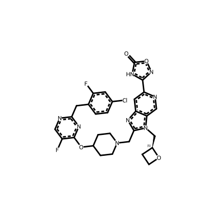 O=c1[nH]c(-c2cc3nc(CN4CCC(Oc5nc(Cc6ccc(Cl)cc6F)ncc5F)CC4)n(C[C@@H]4CCO4)c3cn2)no1